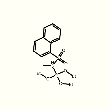 CCO[Si](OCC)(OCC)[SH](C)S(=O)(=O)c1cccc2ccccc12